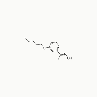 CCCCCOc1cccc(C(C)=NO)c1